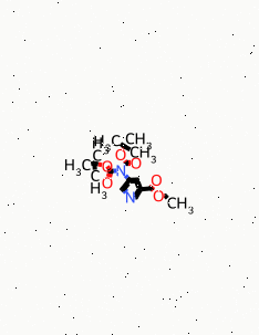 CCOC(=O)c1cncc(N(C(=O)OC(C)(C)C)C(=O)OC(C)(C)C)c1